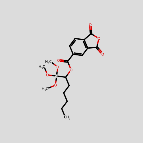 CCCCCC(OC(=O)c1ccc2c(c1)C(=O)OC2=O)[Si](OC)(OC)OC